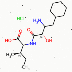 CC[C@@H](C)C(NC(=O)[C@@H](O)C(N)CC1CCCCC1)C(=O)O.Cl